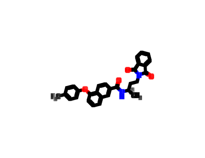 C[C@H](CCN1C(=O)c2ccccc2C1=O)NC(=O)c1ccc2c(Oc3ccc(C(F)(F)F)cc3)cccc2c1